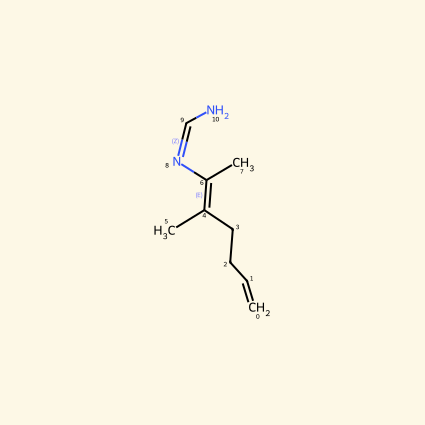 C=CCC/C(C)=C(C)/N=C\N